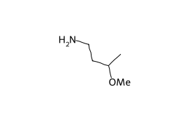 COC(C)CCN